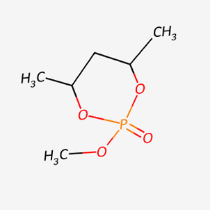 COP1(=O)OC(C)CC(C)O1